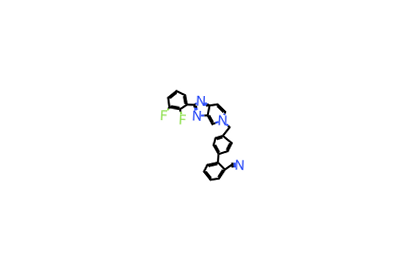 N#Cc1ccccc1-c1ccc(Cn2ccc3nc(-c4cccc(F)c4F)nc-3c2)cc1